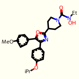 CCN(O)C(=O)N1CCC(c2nc(-c3ccc(OC(C)C)cc3)c(-c3ccc(OC)cc3)o2)CC1